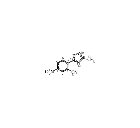 N#Cc1cc([N+](=O)[O-])ccc1-n1cnc(C(F)(F)F)n1